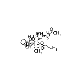 CCCC(=O)OCC(C(=O)[C@@H](NC(=O)[C@H]1CCCCN1C)C(C)CC)[C@H](C[C@@H](O)c1nc(C(C)=O)cs1)C(C)C